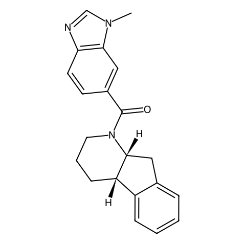 Cn1cnc2ccc(C(=O)N3CCC[C@H]4c5ccccc5C[C@H]43)cc21